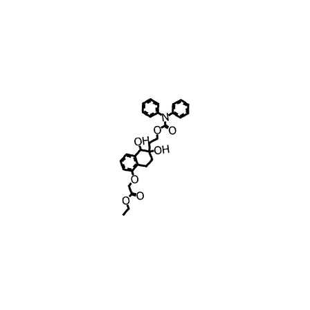 CCOC(=O)COc1cccc2c1CCC(O)(CCOC(=O)N(c1ccccc1)c1ccccc1)C2O